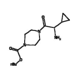 CCCCOC(=O)N1CCN(C(=O)C(N)C2CC2)CC1